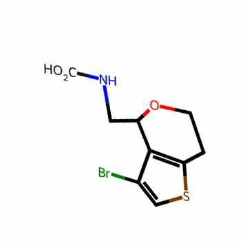 O=C(O)NCC1OCCc2scc(Br)c21